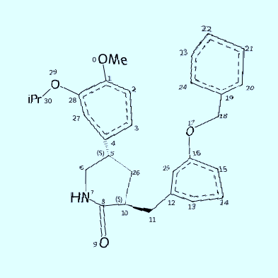 COc1ccc([C@H]2CNC(=O)[C@H](Cc3cccc(OCc4ccccc4)c3)C2)cc1OC(C)C